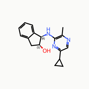 Cc1ncc(C2CC2)nc1N[C@@H]1c2ccccc2C[C@@H]1O